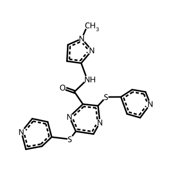 Cn1ccc(NC(=O)c2nc(Sc3ccncc3)cnc2Sc2ccncc2)n1